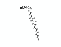 C=CC=CCCCCCCCCCCCCCCCCCCCCCCCCC